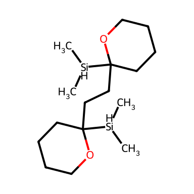 C[SiH](C)C1(CCC2([SiH](C)C)CCCCO2)CCCCO1